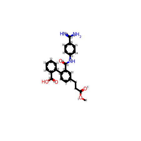 COC(=O)CCc1ccc(-c2ccccc2C(=O)O)c(C(=O)Nc2ccc(C(=N)N)cc2)c1